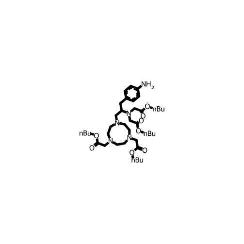 CCCCOC(=O)CN1CCN(CC(=O)OCCCC)CCN(CC(Cc2ccc(N)cc2)N(CC(=O)OCCCC)CC(=O)OCCCC)CC1